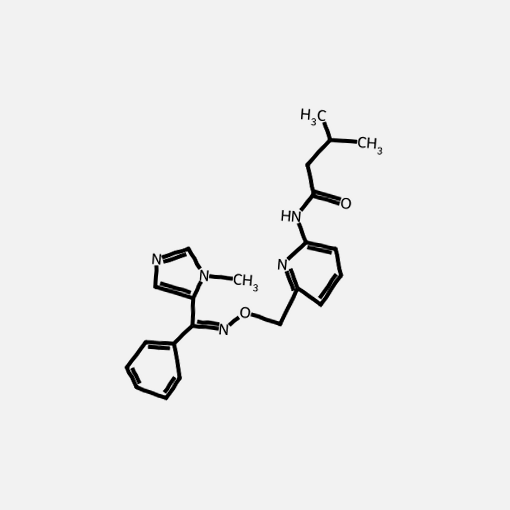 CC(C)CC(=O)Nc1cccc(CON=C(c2ccccc2)c2cncn2C)n1